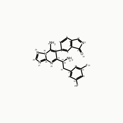 Nc1c(-c2ccc3c(c2)C(=O)N=C3)c([C@@H](N)Cc2cc(F)cc(F)c2)nc2ncnn12